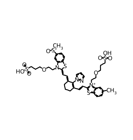 Cc1ccc2sc(/C=C/C3=C(n4cccn4)C(=C/C=C4\Sc5ccc([S+](C)[O-])cc5N4CCOCCCS(=O)(=O)O)/CCC3)[n+](CCOCCCS(=O)(=O)O)c2c1